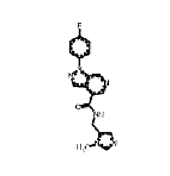 Cn1cncc1CNC(=O)c1cncc2c1cnn2-c1ccc(F)cc1